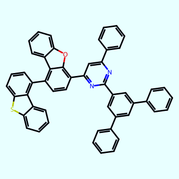 c1ccc(-c2cc(-c3ccccc3)cc(-c3nc(-c4ccccc4)cc(-c4ccc(-c5cccc6sc7ccccc7c56)c5c4oc4ccccc45)n3)c2)cc1